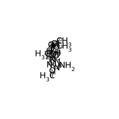 CCOC1=NC(N)=NC2C1=NCN2[C@@H]1O[C@@H]2CO[P@@](=O)(OC(C)C)O[C@H]2[C@@]1(C)F